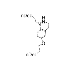 CCCCCCCCCCCCOc1ccc2c(c1)C=CNN2CCCCCCCCCCCC